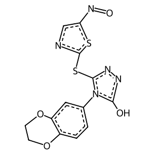 O=Nc1cnc(Sc2nnc(O)n2-c2ccc3c(c2)OCCO3)s1